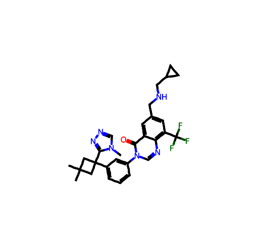 Cn1cnnc1C1(c2cccc(-n3cnc4c(C(F)(F)F)cc(CNCC5CC5)cc4c3=O)c2)CC(C)(C)C1